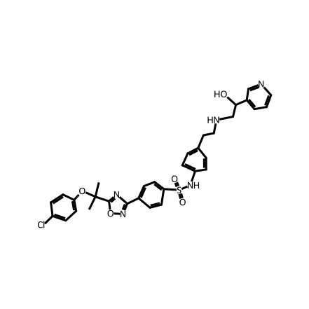 CC(C)(Oc1ccc(Cl)cc1)c1nc(-c2ccc(S(=O)(=O)Nc3ccc(CCNCC(O)c4cccnc4)cc3)cc2)no1